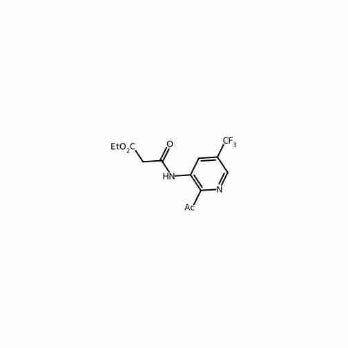 CCOC(=O)CC(=O)Nc1cc(C(F)(F)F)cnc1C(C)=O